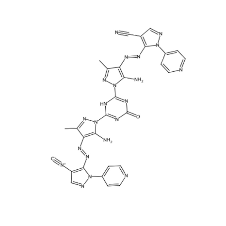 [C-]#[N+]c1cnn(-c2ccncc2)c1N=Nc1c(C)nn(-c2nc(=O)nc(-n3nc(C)c(N=Nc4c(C#N)cnn4-c4ccncc4)c3N)[nH]2)c1N